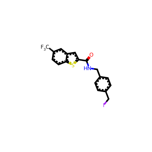 O=C(NCc1ccc(CI)cc1)c1cc2cc(C(F)(F)F)ccc2s1